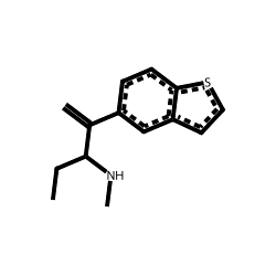 C=C(c1ccc2sccc2c1)C(CC)NC